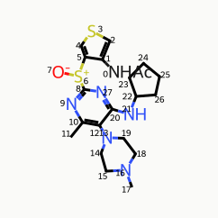 CC(=O)Nc1cscc1[S+]([O-])c1nc(C)c(N2CCN(C)CC2)c(NC2CCCC2)n1